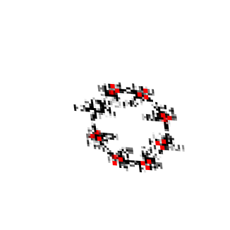 OC[C@H]1OC2O[C@H]3[C@H](O)[C@H](O)C(O[C@@H]4[C@H](O)[C@@H](O)C(O[C@H]5[C@H](O)[C@H](O)C(O[C@@H]6[C@H](O)[C@@H](O)C(O[C@H]7[C@H](O)[C@H](O)C(O[C@@H]8[C@H](O)[C@@H](O)C(O[C@H]9[C@H](O)[C@H](O)C(O[C@@H]1[C@H](O)[C@H]2O)O[C@@H]9CO)O[C@@H]8CO)O[C@@H]7CO)O[C@@H]6CO)O[C@@H]5CO)O[C@@H]4CO)O[C@@H]3CO